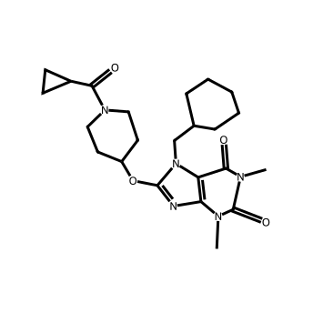 Cn1c(=O)c2c(nc(OC3CCN(C(=O)C4CC4)CC3)n2CC2CCCCC2)n(C)c1=O